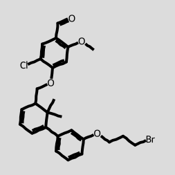 COc1cc(OCC2C=CC=C(c3cccc(OCCCBr)c3)C2(C)C)c(Cl)cc1C=O